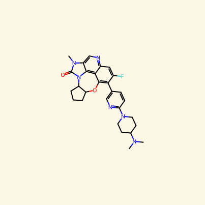 CN(C)C1CCN(c2ccc(-c3c(F)cc4ncc5c6c4c3OC3CCCC3n6c(=O)n5C)cn2)CC1